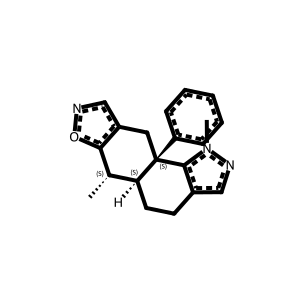 C[C@@H]1c2oncc2C[C@]2(c3ccccc3)c3c(cnn3C)CC[C@@H]12